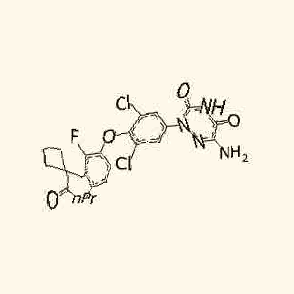 CCCC(=O)C1(c2c(C)ccc(Oc3c(Cl)cc(-n4nc(N)c(=O)[nH]c4=O)cc3Cl)c2F)CCC1